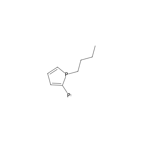 CCCCp1cccc1[P]